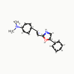 CN(C)c1ccc(/C=C/c2ncc(-c3ccccc3)o2)cc1